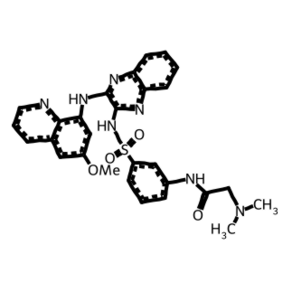 COc1cc(Nc2nc3ccccc3nc2NS(=O)(=O)c2cccc(NC(=O)CN(C)C)c2)c2ncccc2c1